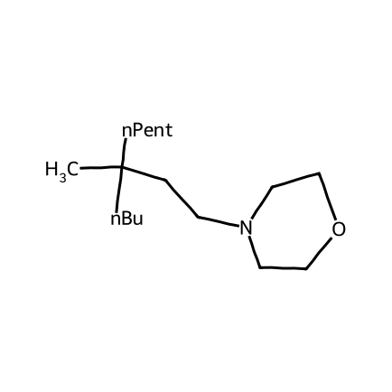 CCCCCC(C)(CCCC)CCN1CCOCC1